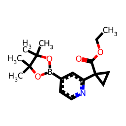 CCOC(=O)C1(c2cc(B3OC(C)(C)C(C)(C)O3)ccn2)CC1